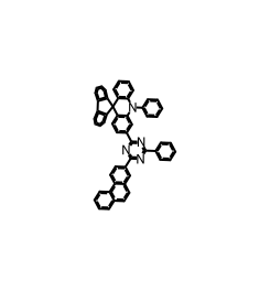 c1ccc(-c2nc(-c3ccc4c(c3)N(c3ccccc3)c3ccccc3C43c4ccccc4-c4ccccc43)nc(-c3ccc4c(ccc5ccccc54)c3)n2)cc1